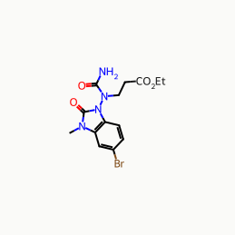 CCOC(=O)CCN(C(N)=O)n1c(=O)n(C)c2cc(Br)ccc21